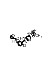 CNS(=O)(=O)Nc1cnc2nc(-c3cc(NC(=O)c4ccco4)ccc3Cl)[nH]c2c1